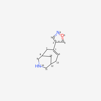 C1=C(c2cnoc2)CC2CNCC(C1)C2